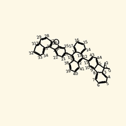 CC1(C)c2ccccc2-c2cc(-c3c4ccccc4c(-c4ccc5c(c4)oc4ccc6ccccc6c45)c4ccccc34)ccc21